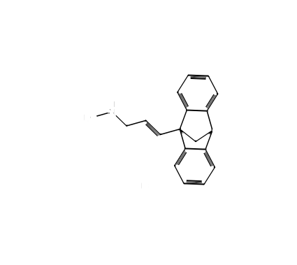 CNCC=CC12CC(c3ccccc31)c1ccccc12.Cl